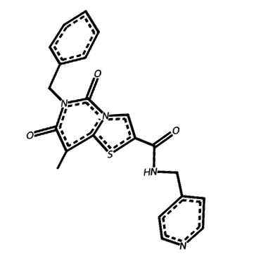 Cc1c(=O)n(Cc2ccccc2)c(=O)n2cc(C(=O)NCc3ccncc3)sc12